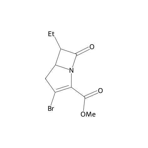 CCC1C(=O)N2C(C(=O)OC)=C(Br)CC12